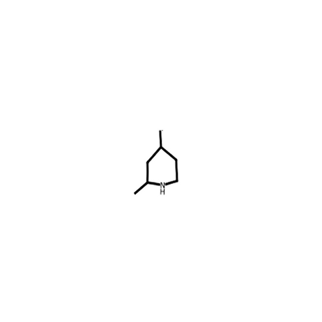 [CH2]C1CCNC(C)C1